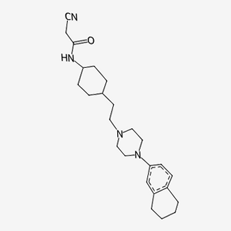 N#CCC(=O)NC1CCC(CCN2CCN(c3ccc4c(c3)CCCC4)CC2)CC1